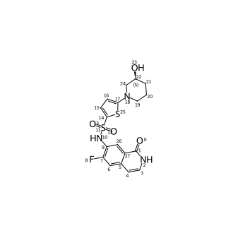 O=c1[nH]ccc2cc(F)c(NS(=O)(=O)c3ccc(N4CCC[C@H](O)C4)s3)cc12